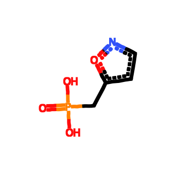 O=P(O)(O)Cc1ccno1